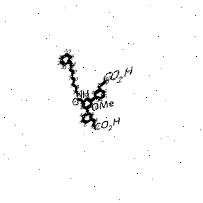 COc1c(-c2cccc(CCC(=O)O)c2)cc(C(=O)NCCCCCCCCc2ccccc2)cc1-c1cccc(CCC(=O)O)c1